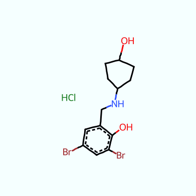 Cl.Oc1c(Br)cc(Br)cc1CNC1CCC(O)CC1